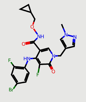 Cn1cc(Cn2cc(C(=O)NOCC3CC3)c(Nc3ccc(Br)cc3F)c(F)c2=O)cn1